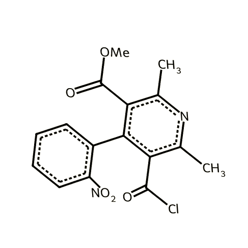 COC(=O)c1c(C)nc(C)c(C(=O)Cl)c1-c1ccccc1[N+](=O)[O-]